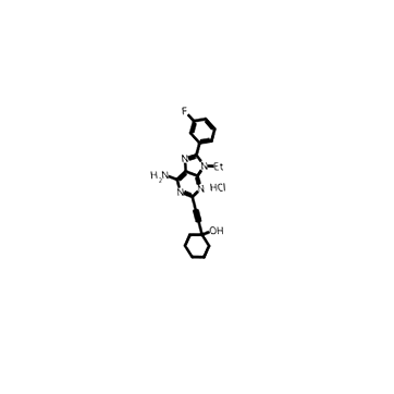 CCn1c(-c2cccc(F)c2)nc2c(N)nc(C#CC3(O)CCCCC3)nc21.Cl